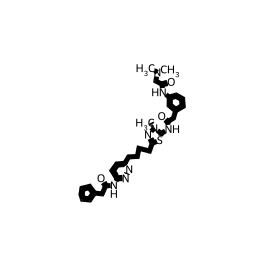 CN(C)CC(=O)Nc1cccc(CC(=O)NC2SC(CCCCc3ccc(NC(=O)Cc4ccccc4)nn3)=NN2C)c1